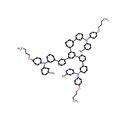 [3H]c1cccc(N(c2ccc(OCCCC)cc2)c2cccc(-c3cccc(-c4cc(-c5cccc(-c6cccc(N(c7ccc(OCCCC)cc7)c7cccc([3H])c7)c6)c5)cc(-c5cccc(-c6cccc(N(c7ccc(OCCCC)cc7)c7cccc([3H])c7)c6)c5)c4)c3)c2)c1